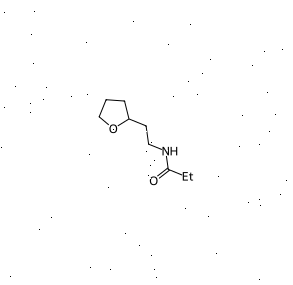 CCC(=O)NCCC1CCCO1